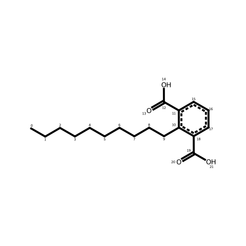 CCCCCCCCCCc1c(C(=O)O)cccc1C(=O)O